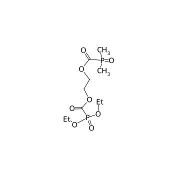 CCOP(=O)(OCC)C(=O)OCCOC(=O)P(C)(C)=O